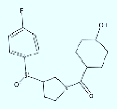 O=C(C1CCC(O)CC1)N1CCC([S+]([O-])c2ccc(F)cc2)C1